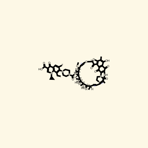 CO[C@H]1/C=C/O[C@@]2(C)Oc3c(C)c(O)c4c(c3C2=O)C(=O)C(N2CCOCC2)=C(NC(=O)/C(C)=C\C=C\[C@H](C)[C@H](O)[C@@H](C)[C@@H](O)[C@@H](C)[C@H](OC(=O)N2CCN(c3c(F)cc5c(=O)c(C(=O)O)cn(C6CC6)c5c3CI)CC2)[C@@H]1C)C4=O